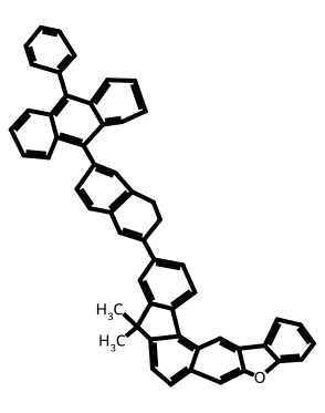 CC1(C)c2cc(C3=Cc4ccc(-c5c6ccccc6c(-c6ccccc6)c6ccccc56)cc4CC3)ccc2-c2c1ccc1cc3oc4ccccc4c3cc21